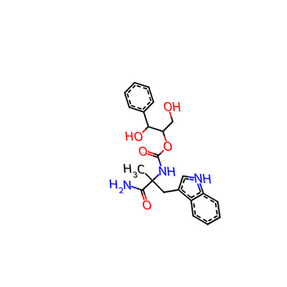 CC(Cc1c[nH]c2ccccc12)(NC(=O)OC(CO)C(O)c1ccccc1)C(N)=O